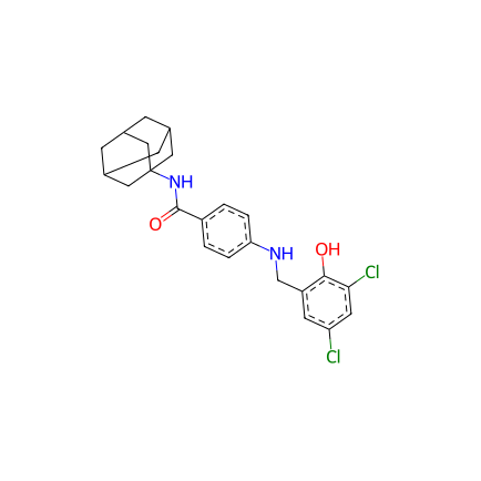 O=C(NC12CC3CC(CC(C3)C1)C2)c1ccc(NCc2cc(Cl)cc(Cl)c2O)cc1